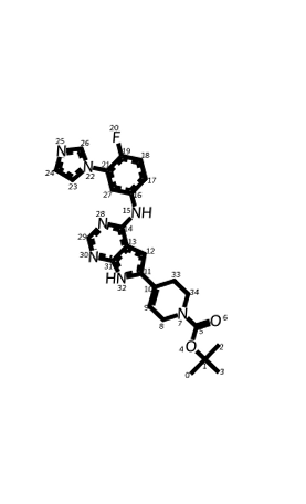 CC(C)(C)OC(=O)N1CC=C(c2cc3c(Nc4ccc(F)c(-n5ccnc5)c4)ncnc3[nH]2)CC1